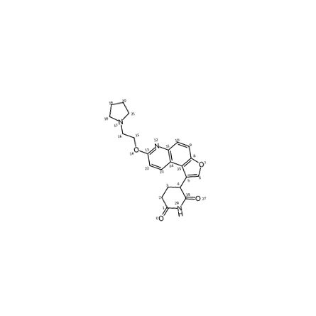 O=C1CCC(c2coc3ccc4nc(OCCN5CCCC5)ccc4c23)C(=O)N1